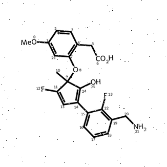 COc1ccc(CC(=O)O)c(OC2(C)C(F)=CC(c3cccc(CN)c3F)=C2O)c1